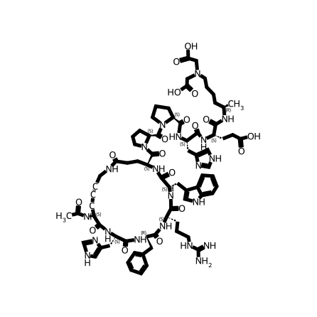 CC(=O)N[C@H]1CCCCNC(=O)CC[C@@H](C(=O)N2CCC[C@H]2C(=O)N2CCC[C@H]2C(=O)N[C@@H](Cc2c[nH]cn2)C(=O)N[C@@H](CCC(=O)O)C(=O)N[C@H](C)CCCCN(CC(=O)O)CC(=O)O)NC(=O)[C@H](Cc2c[nH]c3ccccc23)NC(=O)[C@H](CCCNC(=N)N)NC(=O)[C@@H](Cc2ccccc2)NC(=O)[C@H](Cc2c[nH]cn2)NC1=O